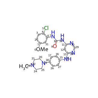 COc1ccc(Cl)c(NC(=O)Nc2cc(Nc3ccc(N4CCN(C)CC4)cc3)ncn2)c1